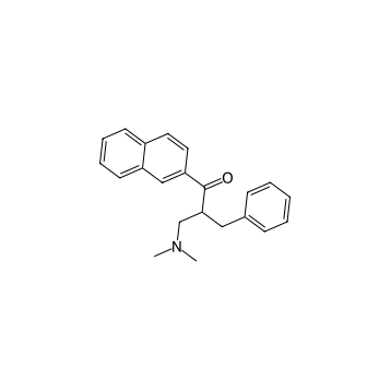 CN(C)CC(Cc1ccccc1)C(=O)c1ccc2ccccc2c1